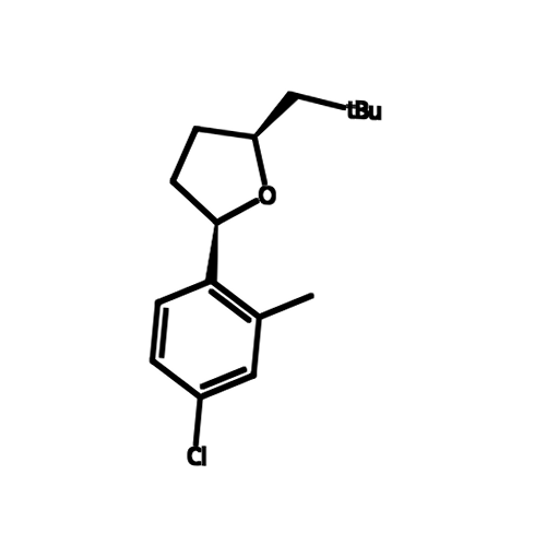 Cc1cc(Cl)ccc1[C@H]1CC[C@@H](CC(C)(C)C)O1